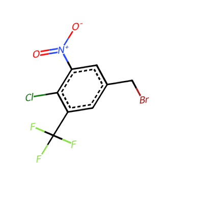 O=[N+]([O-])c1cc(CBr)cc(C(F)(F)F)c1Cl